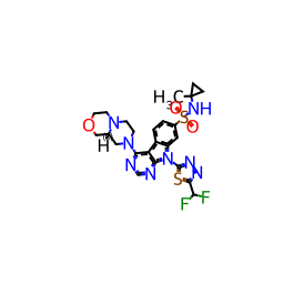 CC1(NS(=O)(=O)c2ccc3c4c(N5CCN6CCOC[C@H]6C5)ncnc4n(-c4nnc(C(F)F)s4)c3c2)CC1